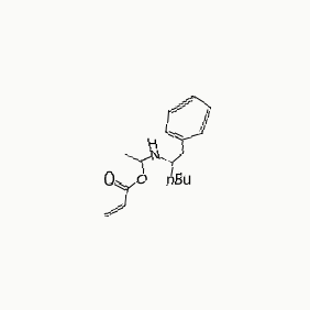 C=CC(=O)OC(C)NC(CCCC)Cc1ccccc1